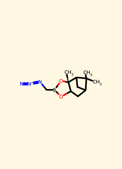 CC1(C)C2CC3OB(CN=[N+]=[N-])O[C@]3(C)C1C2